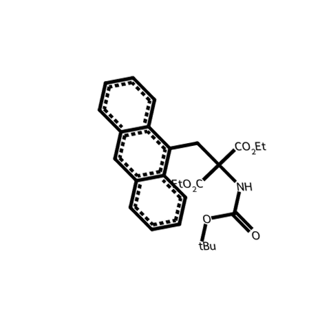 CCOC(=O)C(Cc1c2ccccc2cc2ccccc12)(NC(=O)OC(C)(C)C)C(=O)OCC